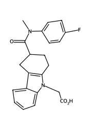 CN(C(=O)C1CCc2c(c3ccccc3n2CC(=O)O)C1)c1ccc(F)cc1